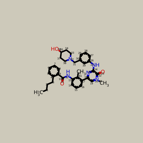 CCCCc1ccccc1C(=O)Nc1cccc(-c2cn(C)c(=O)c(Nc3cccc(CN4CCC(O)CC4)c3)n2)c1C